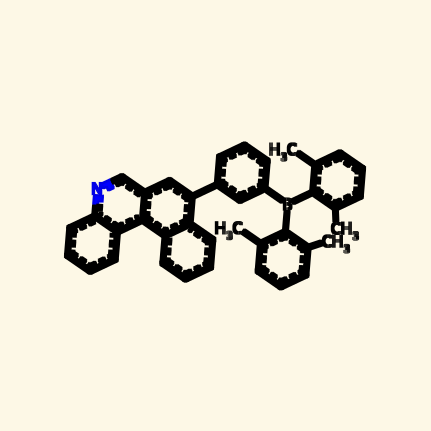 Cc1cccc(C)c1B(c1cccc(-c2cc3cnc4ccccc4c3c3ccccc23)c1)c1c(C)cccc1C